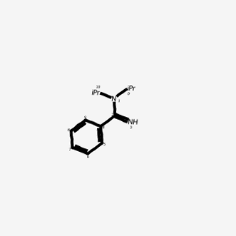 CC(C)N(C(=N)c1ccccc1)C(C)C